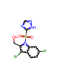 O=S(=O)(c1ncn[nH]1)n1c(CO)c(Br)c2ccc(F)cc21